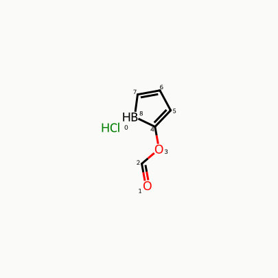 Cl.O=COC1=CC=CB1